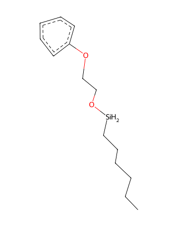 CCCCCC[SiH2]OCCOc1ccccc1